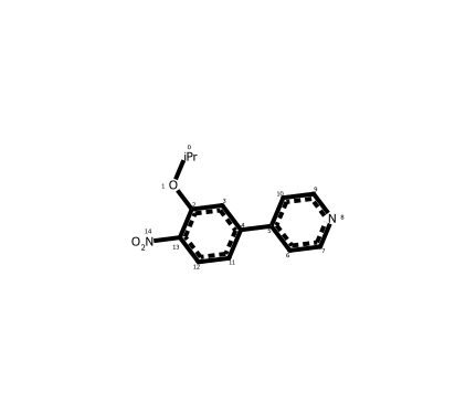 CC(C)Oc1cc(-c2ccncc2)ccc1[N+](=O)[O-]